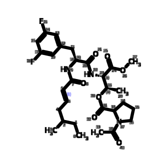 CCC(C)C/C=C/C(=O)N[C@@H](Cc1cc(F)cc(F)c1)C(=O)N[C@H](C(=O)OC)[C@@H](C)OC(=O)C1CCCN1C(C)=O